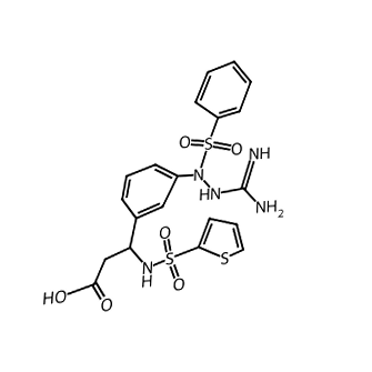 N=C(N)NN(c1cccc(C(CC(=O)O)NS(=O)(=O)c2cccs2)c1)S(=O)(=O)c1ccccc1